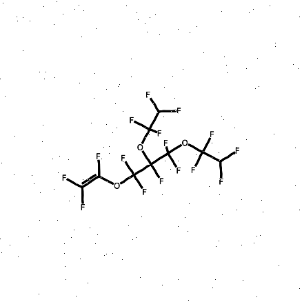 FC(F)=C(F)OC(F)(F)C(F)(OC(F)(F)C(F)F)C(F)(F)OC(F)(F)C(F)F